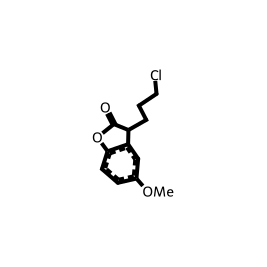 COc1ccc2c(c1)C(CCCCl)C(=O)O2